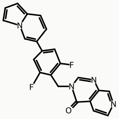 O=c1c2ccncc2ncn1Cc1c(F)cc(-c2ccc3cccn3c2)cc1F